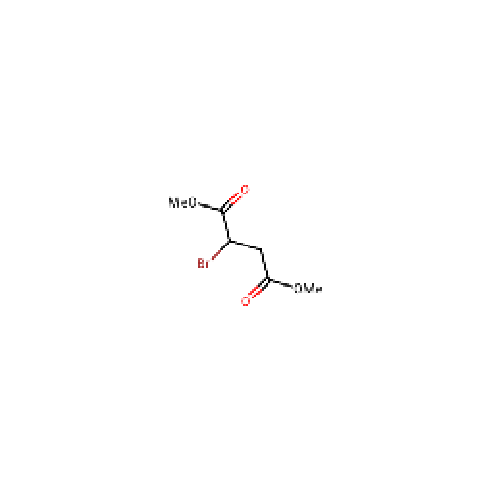 COC(=O)CC(Br)C(=O)OC